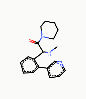 CNC(C(=O)N1CCCCC1)c1ccccc1-c1[c]nccc1